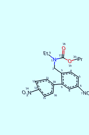 CCN(Cc1ccc([N+](=O)[O-])cc1-c1ccc([N+](=O)[O-])cc1)C(=O)OC(C)C